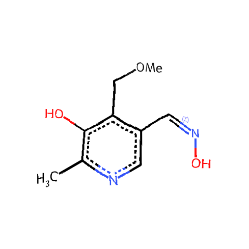 COCc1c(/C=N\O)cnc(C)c1O